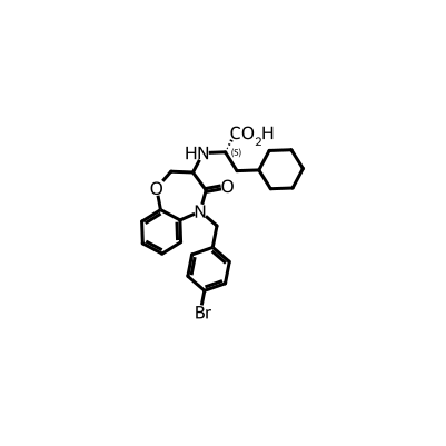 O=C(O)[C@H](CC1CCCCC1)NC1COc2ccccc2N(Cc2ccc(Br)cc2)C1=O